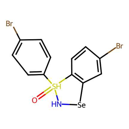 O=[SH]1(c2ccc(Br)cc2)N[Se]c2cc(Br)ccc21